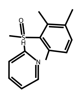 Cc1ccc(C)c([SH](C)(=O)c2ccccn2)c1C